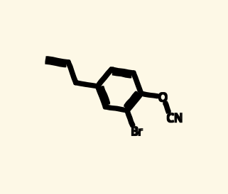 C=CCc1ccc(OC#N)c(Br)c1